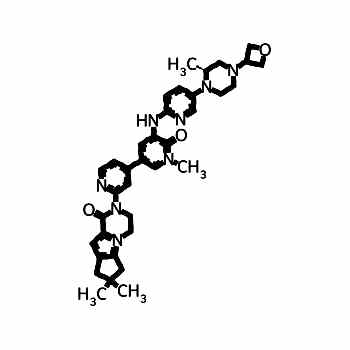 C[C@@H]1CN(C2COC2)CCN1c1ccc(Nc2cc(-c3ccnc(N4CCn5c(cc6c5CC(C)(C)C6)C4=O)c3)cn(C)c2=O)nc1